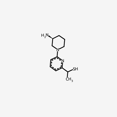 CC(S)c1cccc(N2CCC[C@H](N)C2)n1